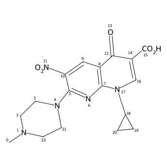 CN1CCN(c2nc3c(cc2[N+](=O)[O-])c(=O)c(C(=O)O)cn3C2CC2)CC1